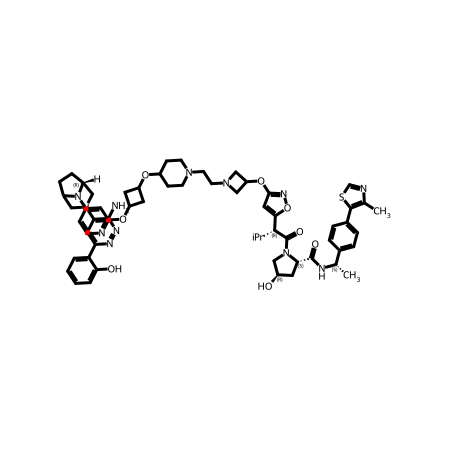 Cc1ncsc1-c1ccc([C@H](C)NC(=O)[C@@H]2C[C@@H](O)CN2C(=O)[C@@H](c2cc(OC3CN(CCN4CCC(OC5CC(Oc6cc(N7C8CC[C@@H]7CN(c7cc(-c9ccccc9O)nnc7N)C8)ccn6)C5)CC4)C3)no2)C(C)C)cc1